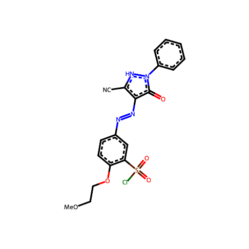 COCCOc1ccc(N=Nc2c(C#N)[nH]n(-c3ccccc3)c2=O)cc1S(=O)(=O)Cl